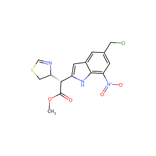 COC(=O)[C@@H](c1cc2cc(CCl)cc([N+](=O)[O-])c2[nH]1)C1CSC=N1